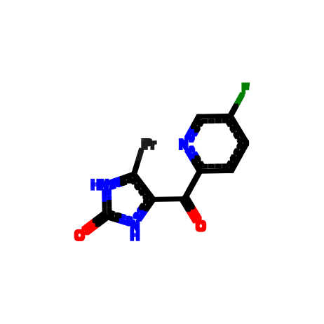 CC(C)c1[nH]c(=O)[nH]c1C(=O)c1ccc(F)cn1